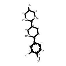 Fc1cc(C2CCC(C3OCC(I)CO3)CO2)ccc1Cl